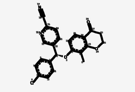 Cc1c(O[C@H](c2ccc(Cl)cc2)c2ccc(C#N)nc2)ccc2c1OCCC2=O